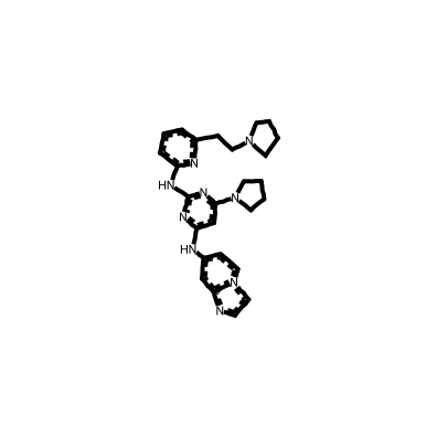 c1cc(CCN2CCCC2)nc(Nc2nc(Nc3ccn4ccnc4c3)cc(N3CCCC3)n2)c1